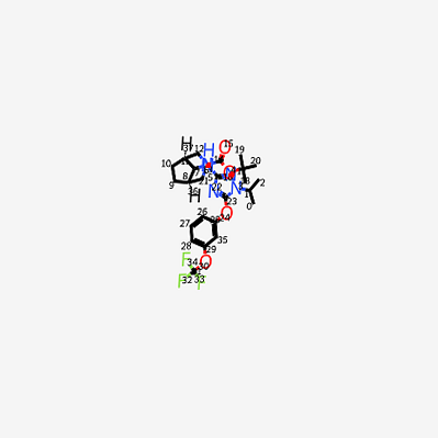 CC(C)n1nc(NC2[C@@H]3CC[C@H]2CN(C(=O)OC(C)(C)C)C3)nc1Oc1cccc(OC(F)(F)F)c1